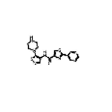 O=C(Nc1cnsc1N1CCNCC1)c1csc(-c2cccnc2)n1